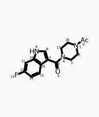 CC(=O)N1CCN(C(=O)c2c[nH]c3cc(F)ccc23)CC1